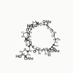 CO[C@H]1C[C@@H]2CC[C@@H](C)[C@@](O)(O2)C(=O)C(=O)N2CCCC[C@H]2C(=O)O[C@H]([C@H](C)C[C@@H]2CC[C@@H](O)[C@H](OC)C2)CC(=O)[C@H](C)/C=C(\C)[C@H](O)[C@@H](OC)C(=O)[C@H](C)C[C@H](C)/C=C/C=C/C=C/1C